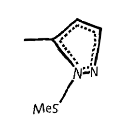 CSn1nccc1C